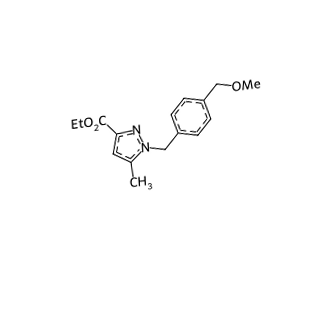 CCOC(=O)c1cc(C)n(Cc2ccc(COC)cc2)n1